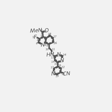 CNC(=O)c1c(F)cnc2c(CCNc3cc(-c4cncc(C#N)c4)ncn3)cccc12